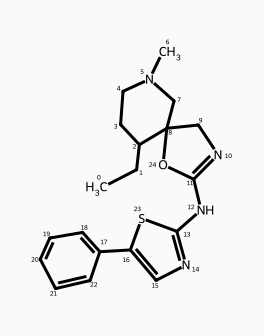 CCC1CCN(C)CC12CN=C(Nc1ncc(-c3ccccc3)s1)O2